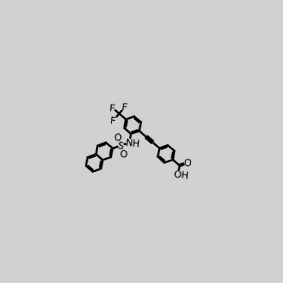 O=C(O)c1ccc(C#Cc2ccc(C(F)(F)F)cc2NS(=O)(=O)c2ccc3ccccc3c2)cc1